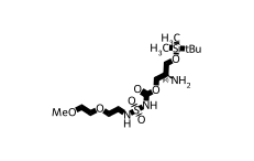 COCCOCCNS(=O)(=O)NC(=O)OC[C@@H](N)CO[Si](C)(C)C(C)(C)C